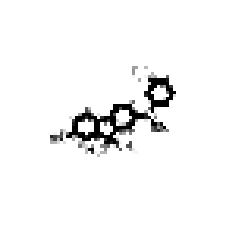 CCC(C)N(c1cccc(C(F)(F)F)c1)c1ccc2c(c1)C(C)(C)c1cc(C(C)(C)C)ccc1-2